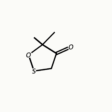 CC1(C)OSCC1=O